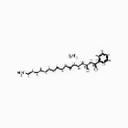 CCCCCCCCCCCCCCCC(Cl)CC(=O)c1ccccc1.N